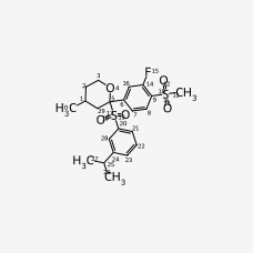 CC1CCOC(c2ccc(S(C)(=O)=O)c(F)c2)(S(=O)(=O)c2cccc(C(C)C)c2)C1